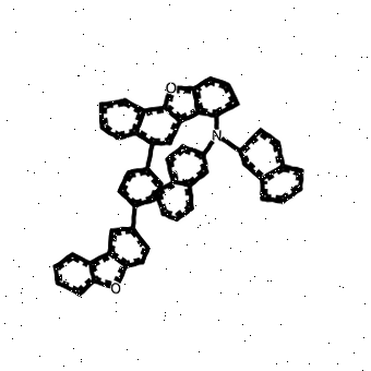 c1ccc2cc(N(c3ccc4ccccc4c3)c3cccc4oc5c6ccccc6c(-c6ccc(-c7ccc8oc9ccccc9c8c7)cc6)cc5c34)ccc2c1